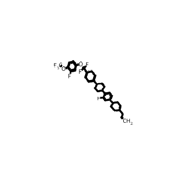 C=CCC1CCC(c2ccc(C3CCC(C4CCC(C(F)(F)Oc5ccc(OC(F)(F)F)c(F)c5)CC4)CC3)c(F)c2)CC1